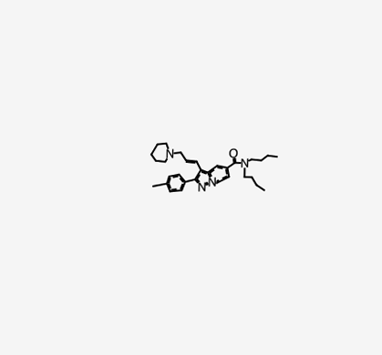 CCCCN(CCCC)C(=O)c1ccn2nc(-c3ccc(C)cc3)c(/C=C/CN3CCCCC3)c2c1